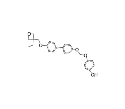 CCC1(COc2ccc(-c3ccc(OCOc4ccc(O)cc4)cc3)cc2)COC1